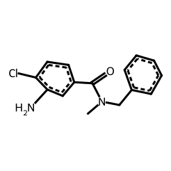 CN(Cc1ccccc1)C(=O)c1ccc(Cl)c(N)c1